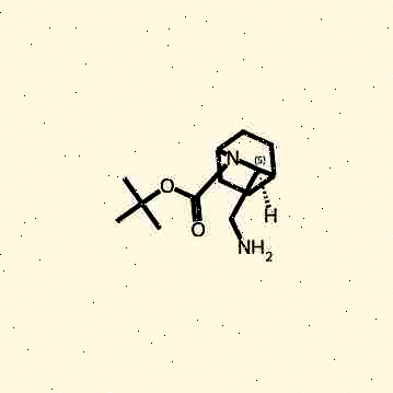 CC(C)(C)OC(=O)N1C2CCC(CC2)[C@H]1CN